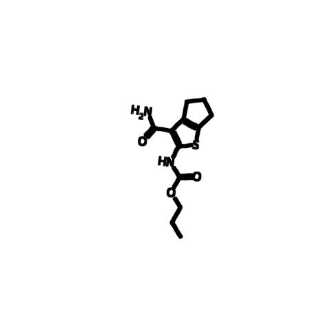 CCCOC(=O)Nc1sc2c(c1C(N)=O)CCC2